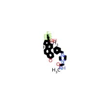 CNC(=O)CN1CCN(Cc2ccc([C@H]3C[C@@]4(C)[C@@H](CC[C@@]4(O)C(F)(F)C(F)(F)F)[C@@H]4CCC5=CC(=O)CCC5=C43)cc2)CC1